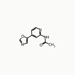 CC(=O)Nc1cc(-c2cnco2)ccn1